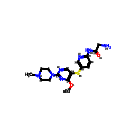 CCCCOc1nc(N2CCN(C)CC2)ncc1Sc1ccc(NC(=O)CN)nc1